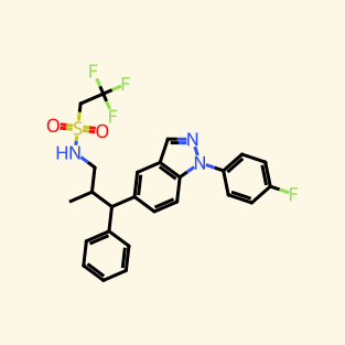 CC(CNS(=O)(=O)CC(F)(F)F)C(c1ccccc1)c1ccc2c(cnn2-c2ccc(F)cc2)c1